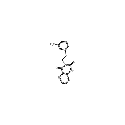 O=c1c2nccnc2[nH]c(=S)n1CCc1cccc(C(F)(F)F)c1